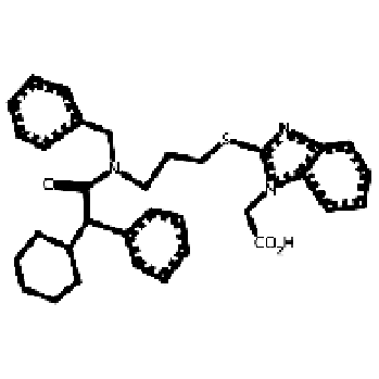 O=C(O)Cn1c(SCCCN(Cc2ccccc2)C(=O)C(c2ccccc2)C2CCCCC2)nc2ccccc21